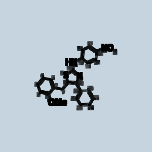 COc1ccccc1Cc1sc(Nc2ccc([N+](=O)[O-])cc2)nc1-c1ccccc1